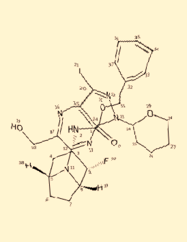 O=C(N[C@H]1C[C@H]2CC[C@@H]([C@H]1F)N2c1nc2c(nc1CO)c(I)nn2C1CCCCO1)OCc1ccccc1